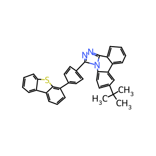 CC(C)(C)c1ccc2c(c1)c1ccccc1c1nnc(-c3ccc(-c4cccc5c4sc4ccccc45)cc3)n21